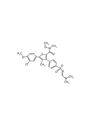 COc1ccc(-c2sc(C(=O)N(C)OC)c(-c3ccc(S(=O)(=O)N=CN(C)C)cc3)c2C)cc1Cl